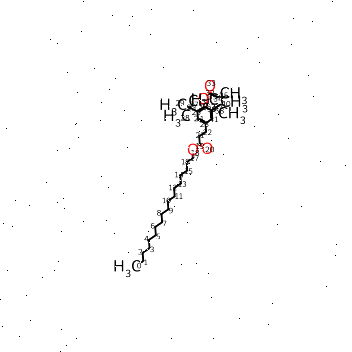 CCCCCCCCCCCCCCCCCCOC(=O)CCc1cc(C(C)(C)C)c(OC(=O)CC)c(C(C)(C)C)c1